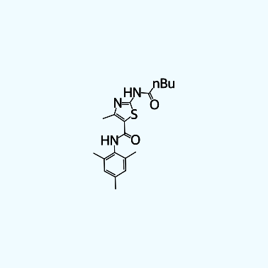 CCCCC(=O)Nc1nc(C)c(C(=O)Nc2c(C)cc(C)cc2C)s1